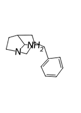 NC1C2CCN1CC(Cc1ccccc1)C2